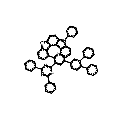 c1ccc(-c2nc(-c3ccccc3)nc(-c3cc(-c4ccc(-c5ccccc5)c(-c5ccccc5)c4)cnc3-c3cccc4oc5ccc6c(c7ccccc7n6-c6ccccc6)c5c34)n2)cc1